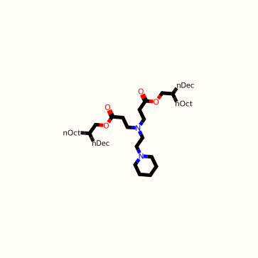 CCCCCCCCCCC(CCCCCCCC)COC(=O)CCN(CCC(=O)OCC(CCCCCCCC)CCCCCCCCCC)CCN1CCCCC1